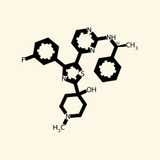 C[C@H](Nc1nccc(-c2sc(C3(O)CCN(C)CC3)nc2-c2cccc(F)c2)n1)c1ccccc1